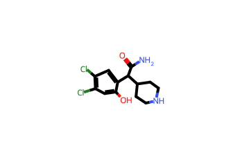 NC(=O)C(c1cc(Cl)c(Cl)cc1O)C1CCNCC1